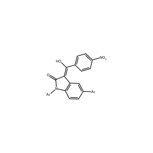 CC(=O)c1ccc2c(c1)/C(=C(/O)c1ccc([N+](=O)[O-])cc1)C(=O)N2C(C)=O